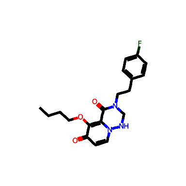 CCCCOc1c2n(ccc1=O)NCN(CCc1ccc(F)cc1)C2=O